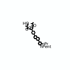 C=C(C)C(=O)OCC(COC(=O)C(=C)CO)C1CCC(c2ccc3cc(-c4ccc(CCCCC)c(CCC)c4)ccc3c2)CC1